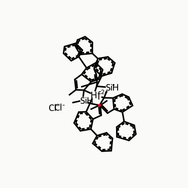 CC1=Cc2c(-c3ccccc3)cccc2[C]12[SiH](C)[C]1(C(C)=Cc3c(-c4ccccc4)cccc31)[Hf+2]21[C]2(C(C)=Cc3c(-c4ccccc4)cccc32)[SiH](C)[C]12C(C)=Cc1c(-c3ccccc3)cccc12.[Cl-].[Cl-]